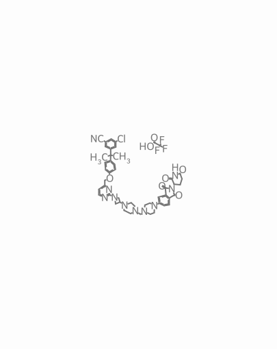 CC(C)(c1ccc(OCc2ccnc(N3CC(N4CCN(CN5CCN(c6ccc7c(c6)C(=O)N(C6CCC(=O)NC6=O)C7=O)CC5)CC4)C3)n2)cc1)c1cc(Cl)cc(C#N)c1.O=C(O)C(F)(F)F